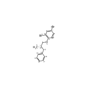 C[C@H](COc1ncc(Br)cc1Br)Cc1ccccc1